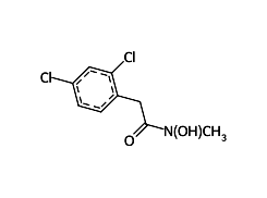 CN(O)C(=O)Cc1ccc(Cl)cc1Cl